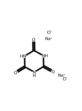 O=c1[nH]c(=O)[nH]c(=O)[nH]1.[Cl-].[Cl-].[Na+].[Na+]